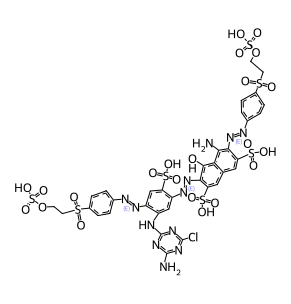 Nc1nc(Cl)nc(Nc2cc(/N=N/c3c(S(=O)(=O)O)cc4cc(S(=O)(=O)O)c(/N=N/c5ccc(S(=O)(=O)CCOS(=O)(=O)O)cc5)c(N)c4c3O)c(S(=O)(=O)O)cc2/N=N/c2ccc(S(=O)(=O)CCOS(=O)(=O)O)cc2)n1